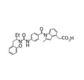 CCC1Cc2ccccc2ON1C(=O)Nc1ccc(C(=O)n2c(C)cc3c(CC(=O)O)cccc32)cc1